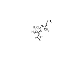 CC\C=C(C)/N=C(C)\C=C(/C)C1CCC1